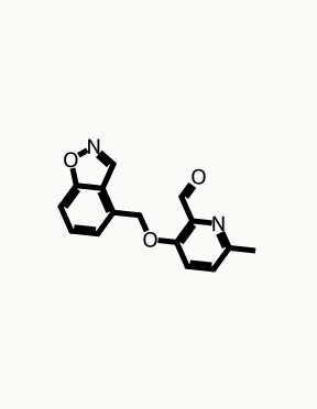 Cc1ccc(OCc2cccc3oncc23)c(C=O)n1